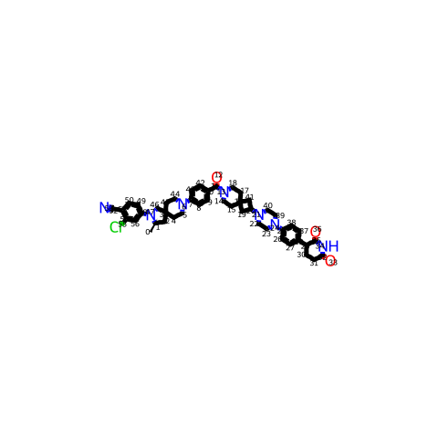 C[C@@H]1CC2(CCN(c3ccc(C(=O)N4CCC5(CC4)CC(N4CCN(c6ccc(C7CCC(=O)NC7=O)cc6)CC4)C5)cc3)CC2)CN1c1ccc(C#N)c(Cl)c1